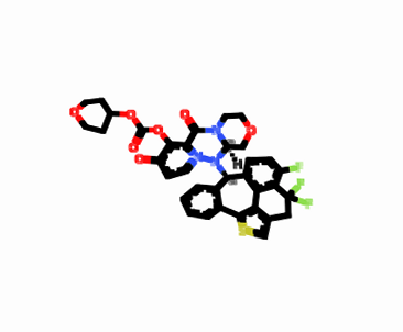 O=C(Oc1c2n(ccc1=O)N([C@@H]1c3ccccc3-c3scc4c3-c3c1ccc(F)c3C(F)(F)C4)[C@@H]1COCCN1C2=O)OC1CCOCC1